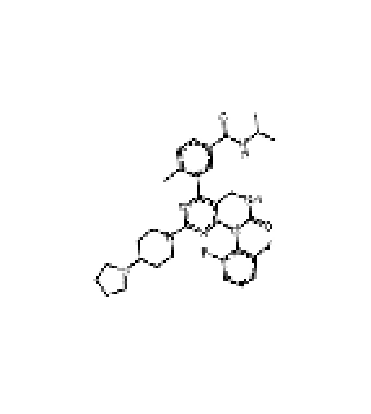 Cc1ccc(C(=O)NC(C)C)cc1-c1nc(N2CCC(N3CCCC3)CC2)nc2c1CNC(=O)N2c1c(F)cccc1F